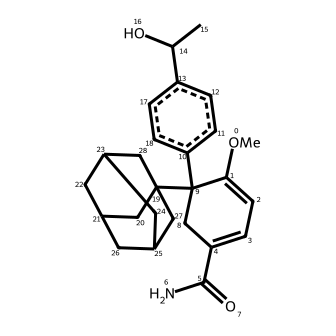 COC1=CC=C(C(N)=O)CC1(c1ccc(C(C)O)cc1)C12CC3CC(CC(C3)C1)C2